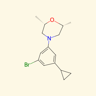 C[C@@H]1CN(c2cc(Br)cc(C3CC3)c2)C[C@H](C)O1